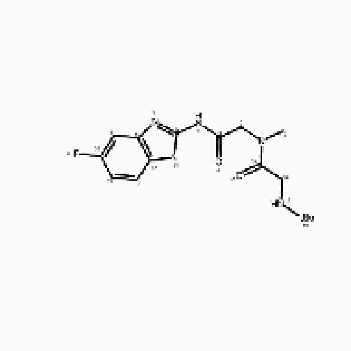 CN(CC(=O)Nc1nc2cc(F)ccc2s1)C(=O)CNC(C)(C)C